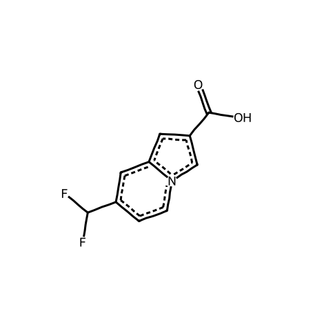 O=C(O)c1cc2cc(C(F)F)ccn2c1